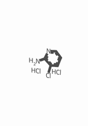 Cl.Cl.Nc1ncccc1Cl